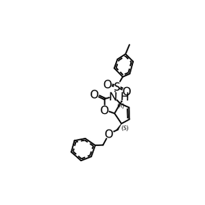 Cc1ccc(S(=O)(=O)N2C(=O)OC3[C@H]2C=C[C@H]3COCc2ccccc2)cc1